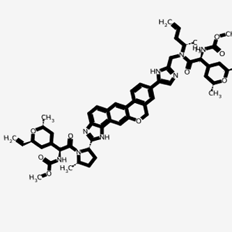 C=CC[C@H](C)N(Cc1ncc(-c2ccc3c(c2)COc2cc4c(ccc5nc([C@@H]6CC[C@H](C)N6C(=O)[C@@H](NC(=O)OC)C6C[C@@H](C)O[C@H](C=C)C6)[nH]c54)cc2-3)[nH]1)C(=O)[C@@H](NC(=O)OC)C1C[C@@H](C)O[C@H](C)C1